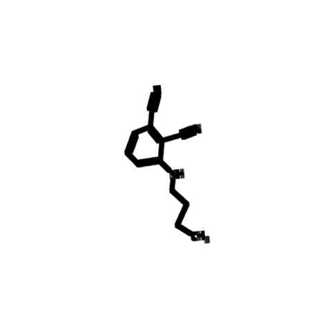 CCCCNc1cccc(C#N)c1C#N